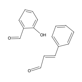 O=CC=Cc1ccccc1.O=Cc1ccccc1O